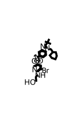 CN(c1ccc2c(c1)nc(C(C)(C)C)n2CC1CCCCC1)S(=O)(=O)c1cnc(NCCO)c(Br)c1